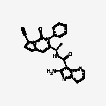 C#Cc1ccc2cc([C@@H](C)NC(=O)c3c(N)nn4cccnc34)n(-c3ccccc3)c(=O)n12